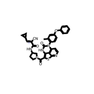 Cc1cc(Oc2ccccc2)ccc1N1C(=O)Nc2c(C(=O)N3CCC(NC(=O)/C(C#N)=C/C4CC4)C3)sc3nccc1c23